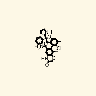 Cc1cc2c(c(-c3c(C(N)=O)cc4c(c3F)OCC(=O)N4)c1Cl)C[C@](c1ccccc1)([C@@H]1CCCN1)O2